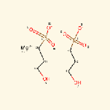 O=S(=O)([O-])CCCO.O=S(=O)([O-])CCCO.[Mg+2]